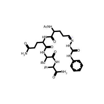 CCC(C)C(NC(=O)C(CCC(N)=O)NC(=O)C(CC/C=N\NC(=O)Nc1ccccc1)NC(C)=O)C(=O)NC(C(N)=O)C(C)C